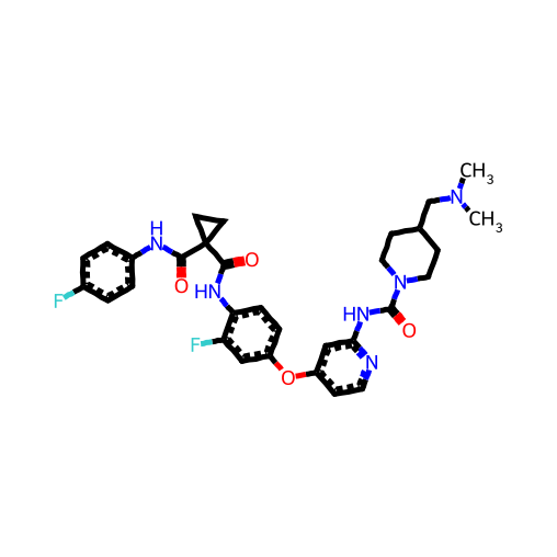 CN(C)CC1CCN(C(=O)Nc2cc(Oc3ccc(NC(=O)C4(C(=O)Nc5ccc(F)cc5)CC4)c(F)c3)ccn2)CC1